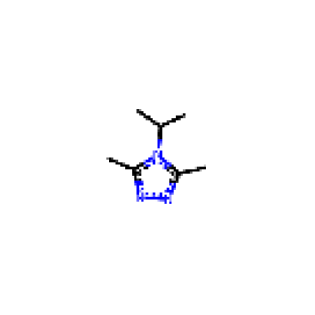 Cc1nnc(C)n1C(C)C